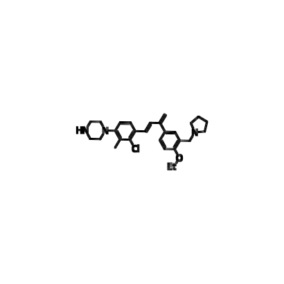 C=C(/C=C/c1ccc(N2CCNCC2)c(C)c1Cl)c1ccc(OCC)c(CN2CCCC2)c1